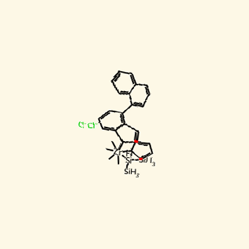 [CH3][Zr]([CH3])([CH3])([CH3])([CH]1C=CC=C1)([CH]1C=Cc2c(-c3cccc4ccccc34)cccc21)[SiH]([SiH3])[SiH3].[Cl-].[Cl-]